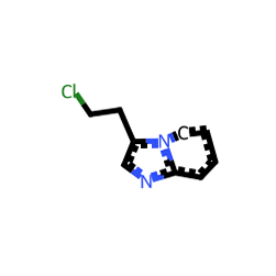 ClCCc1cnc2ccccn12